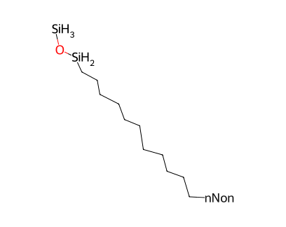 CCCCCCCCCCCCCCCCCCCC[SiH2]O[SiH3]